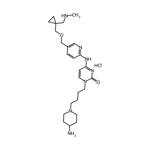 CNCC1(COCc2ccc(Nc3ccn(CCCCN4CCC(N)CC4)c(=O)n3)nc2)CC1.Cl